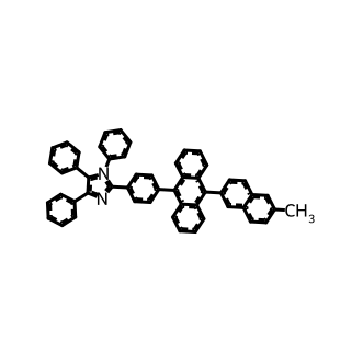 Cc1ccc2cc(-c3c4ccccc4c(-c4ccc(-c5nc(-c6ccccc6)c(-c6ccccc6)n5-c5ccccc5)cc4)c4ccccc34)ccc2c1